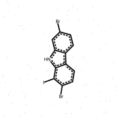 Brc1ccc2c(c1)[nH]c1c(I)c(Br)ccc12